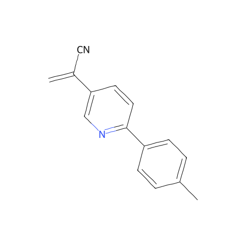 C=C(C#N)c1ccc(-c2ccc(C)cc2)nc1